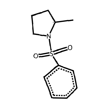 C[C]1CCCN1S(=O)(=O)c1ccccc1